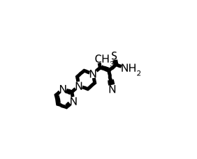 C/C(=C(/C#N)C(N)=S)N1CCN(c2ncccn2)CC1